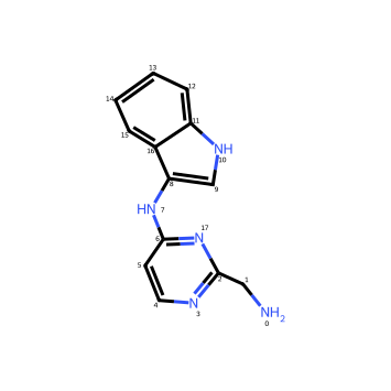 NCc1nccc(Nc2c[nH]c3ccccc23)n1